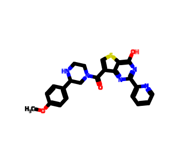 COc1ccc(C2CN(C(=O)c3csc4c(O)nc(-c5ccccn5)nc34)CCN2)cc1